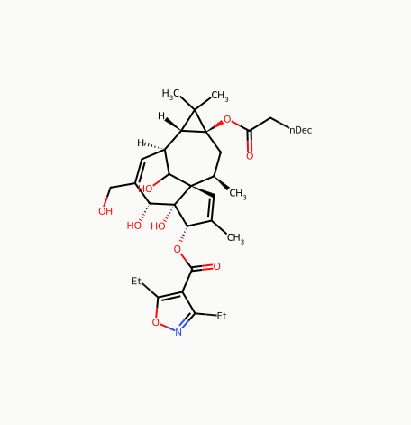 CCCCCCCCCCCC(=O)O[C@@]12C[C@@H](C)[C@]34C=C(C)[C@H](OC(=O)c5c(CC)noc5CC)[C@@]3(O)[C@H](O)C(CO)=C[C@H](C4O)[C@@H]1C2(C)C